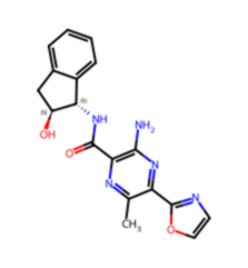 Cc1nc(C(=O)N[C@H]2c3ccccc3C[C@@H]2O)c(N)nc1-c1ncco1